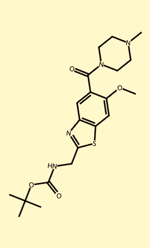 COc1cc2sc(CNC(=O)OC(C)(C)C)nc2cc1C(=O)N1CCN(C)CC1